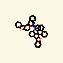 c1ccc(N(c2ccc3c(c2)C2(c4ccccc4-3)c3oc4ccccc4c3-c3cccc(N(c4ccccc4)c4ccccc4)c32)c2ccc3oc4ccccc4c3c2)cc1